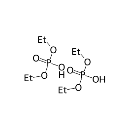 CCOP(=O)(O)OCC.CCOP(=O)(O)OCC